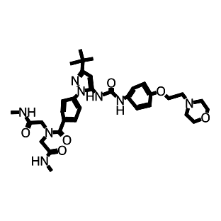 CNC(=O)CN(CC(=O)NC)C(=O)c1ccc(-n2nc(C(C)(C)C)cc2NC(=O)Nc2ccc(OCCN3CCOCC3)cc2)cc1